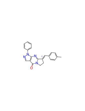 Cc1ccc(/C=C2\CCn3c2nc2c(cnn2-c2ccccc2)c3=O)cc1